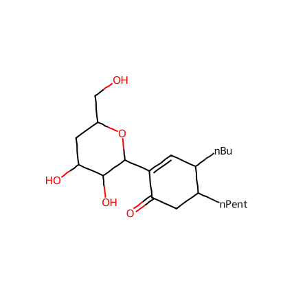 CCCCCC1CC(=O)C(C2OC(CO)CC(O)C2O)=CC1CCCC